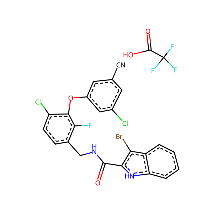 N#Cc1cc(Cl)cc(Oc2c(Cl)ccc(CNC(=O)c3[nH]c4ccccc4c3Br)c2F)c1.O=C(O)C(F)(F)F